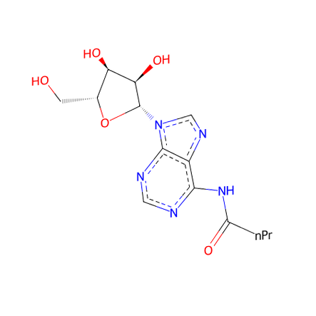 CCCC(=O)Nc1ncnc2c1ncn2[C@@H]1O[C@H](CO)[C@@H](O)[C@H]1O